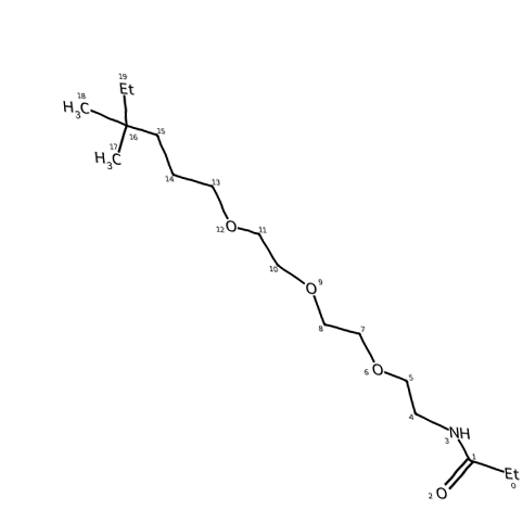 CCC(=O)NCCOCCOCCOCCCC(C)(C)CC